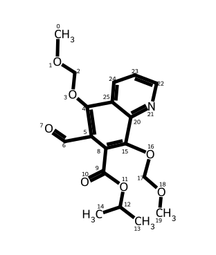 COCOc1c(C=O)c(C(=O)OC(C)C)c(OCOC)c2ncccc12